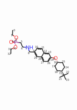 CCOP(=O)(CCNCc1ccc2cc(O[C@H]3CC[C@H](C(C)(C)C)CC3)ccc2c1)OCC